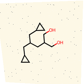 OCC(CO)CC(CC1CC1)CC1CC1